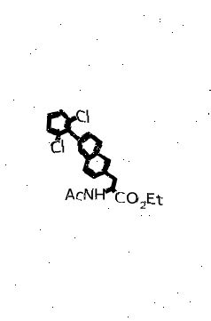 CCOC(=O)C(Cc1ccc2cc(-c3c(Cl)cccc3Cl)ccc2c1)NC(C)=O